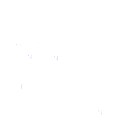 CN(C)c1ccc(-c2cnc3c(c2)c(I)cn3S(=O)(=O)c2ccccc2)cc1